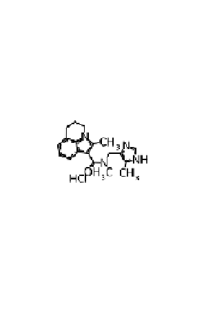 Cc1[nH]cnc1CN(C)C(=O)c1c(C)n2c3c(cccc13)CCC2.Cl